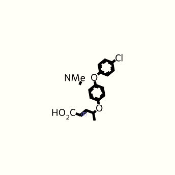 CC(/C=C/C(=O)O)Oc1ccc(Oc2ccc(Cl)cc2)cc1.CNC